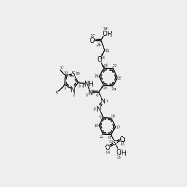 Cc1nc(NN=C(N=Nc2ccc(S(=O)(=O)O)cc2)c2cccc(OCC(=O)O)c2)sc1C